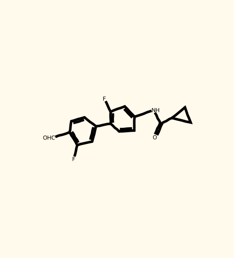 O=Cc1ccc(-c2ccc(NC(=O)C3CC3)cc2F)cc1F